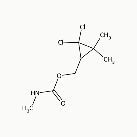 CNC(=O)OCC1C(C)(C)C1(Cl)Cl